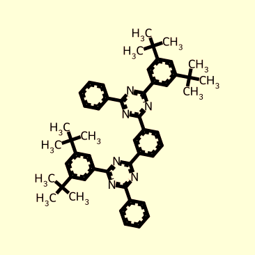 CC(C)(C)c1cc(-c2nc(-c3ccccc3)nc(-c3cccc(-c4nc(-c5ccccc5)nc(-c5cc(C(C)(C)C)cc(C(C)(C)C)c5)n4)c3)n2)cc(C(C)(C)C)c1